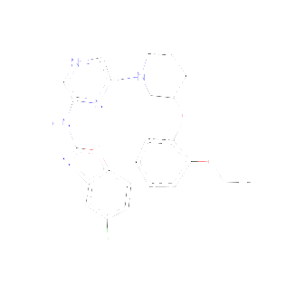 CCOc1ccccc1OC1CCCN(c2cncc(Nc3nc4cc(Cl)ccc4o3)n2)C1